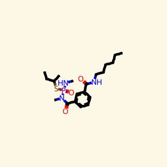 CCCCCCNC(=O)c1cccc(C(=O)N(C)P(=O)(NC)SC(C)CC)c1